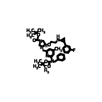 Cc1cc(C[C@@H]2CN(C(=O)OC(C)(C)C)C[C@@H]2OCCNC2CC2c2cccc(F)c2)nc(N(Cc2ccccc2)C(=O)OC(C)(C)C)c1